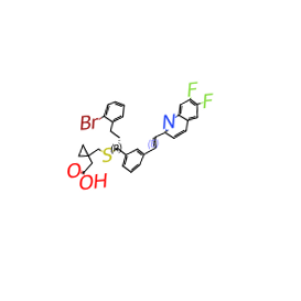 O=C(O)CC1(CS[C@H](CCc2ccccc2Br)c2cccc(/C=C/c3ccc4cc(F)c(F)cc4n3)c2)CC1